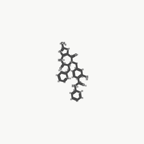 Cc1nc2c(s1)C(=O)N(Cc1ccc(C(=O)Nc3ccccn3)c(Cl)c1)C(Cc1ccccn1)C(=O)N2